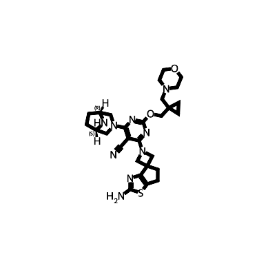 N#Cc1c(N2C[C@H]3CC[C@@H](C2)N3)nc(OCC2(CN3CCOCC3)CC2)nc1N1CC2(CCc3sc(N)nc32)C1